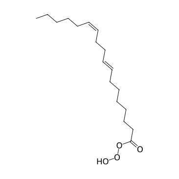 CCCCC/C=C\CC/C=C/CCCCCCC(=O)OOO